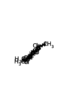 CCCCCc1ccc(C(=O)Oc2ccc(-c3ccc(OC(=O)C(Cl)C(C)C)cc3)cc2)cc1Cl